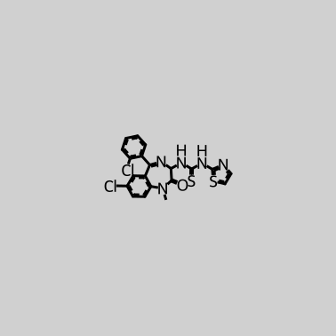 CN1C(=O)C(NC(=S)Nc2nccs2)N=C(c2ccccc2Cl)c2cc(Cl)ccc21